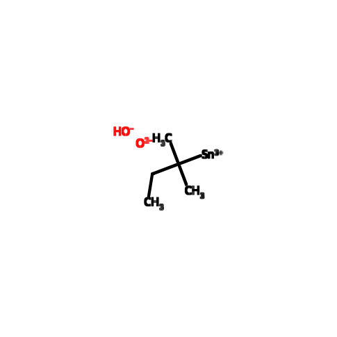 CC[C](C)(C)[Sn+3].[O-2].[OH-]